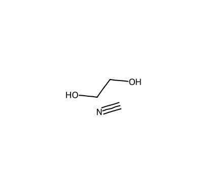 C#N.OCCO